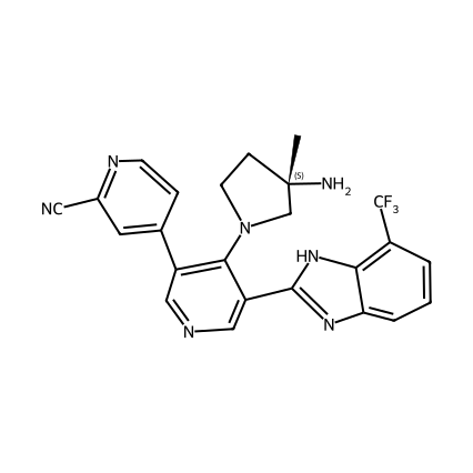 C[C@]1(N)CCN(c2c(-c3ccnc(C#N)c3)cncc2-c2nc3cccc(C(F)(F)F)c3[nH]2)C1